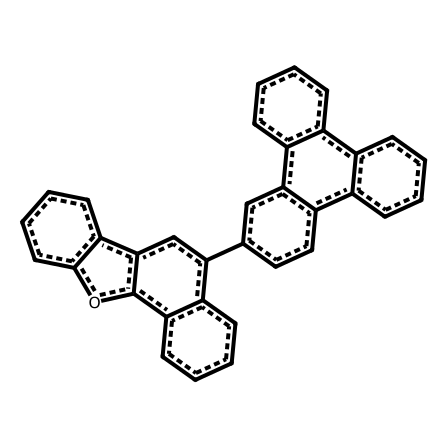 c1ccc2c(c1)oc1c3ccccc3c(-c3ccc4c5ccccc5c5ccccc5c4c3)cc21